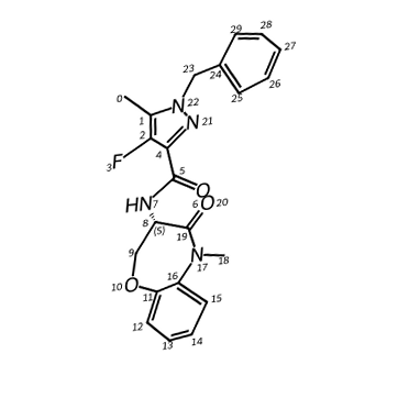 Cc1c(F)c(C(=O)N[C@H]2COc3ccccc3N(C)C2=O)nn1Cc1ccccc1